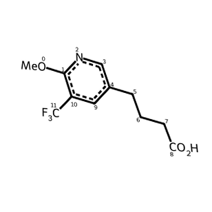 COc1ncc(CCCC(=O)O)cc1C(F)(F)F